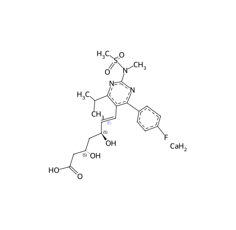 CC(C)c1nc(N(C)S(C)(=O)=O)nc(-c2ccc(F)cc2)c1/C=C/[C@@H](O)C[C@H](O)CC(=O)O.[CaH2]